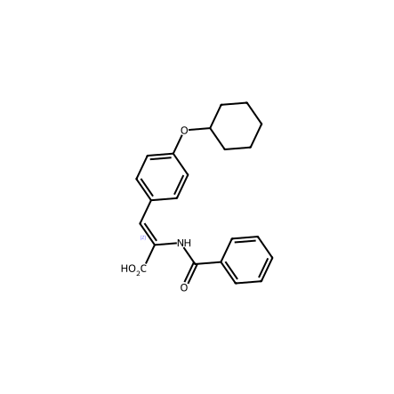 O=C(O)/C(=C/c1ccc(OC2CCCCC2)cc1)NC(=O)c1ccccc1